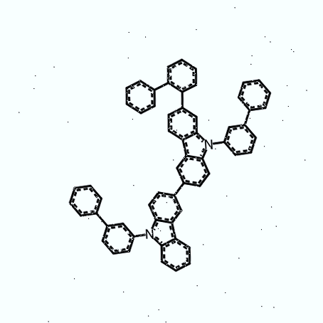 c1ccc(-c2cccc(-n3c4ccccc4c4cc(-c5ccc6c(c5)c5ccc(-c7ccccc7-c7ccccc7)cc5n6-c5cccc(-c6ccccc6)c5)ccc43)c2)cc1